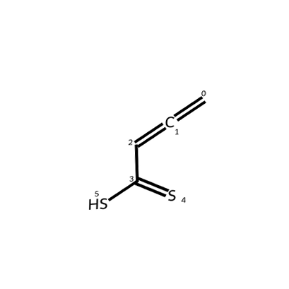 C=C=CC(=S)S